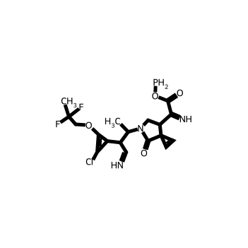 CC(C(C=N)C1C(Cl)=C1OCC(C)(F)F)N1CC(C(=N)C(=O)OP)C2(C=C2)C1=O